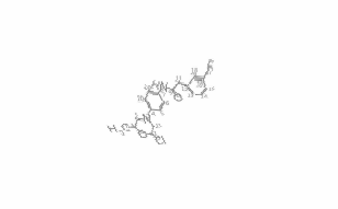 CC1CN(c2ccc(NC(=O)Cc3cccc(F)c3)cc2)CC(Cl)O1